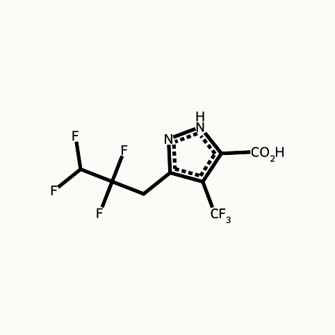 O=C(O)c1[nH]nc(CC(F)(F)C(F)F)c1C(F)(F)F